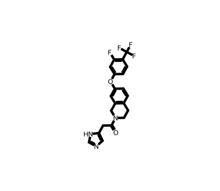 O=C(Cc1cnc[nH]1)N1CCc2ccc(Oc3ccc(C(F)(F)F)c(F)c3)cc2C1